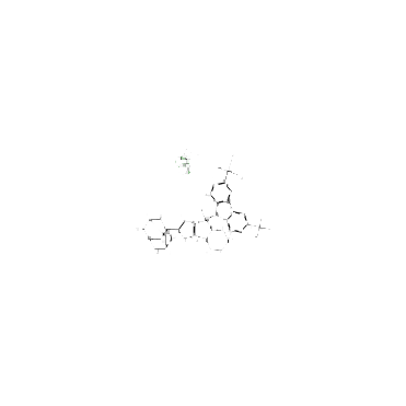 CC(C)(C)c1ccc2c(c1)-c1cc(C(C)(C)C)ccc1C2C1(C)C2=C(CC(C34CC5CC(CC(C5)C3)C4)=C2)C2CCCCC21.[Cl-].[Cl-].[Zr+2]